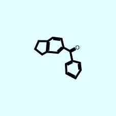 O=C(c1ccccc1)c1ccc2c(c1)CCC2